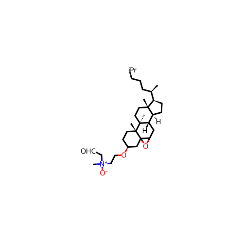 CC(C)CCC[C@@H](C)[C@H]1CC[C@H]2[C@@H]3CC4OC45C[C@@H](OCC[N+](C)([O-])CC=O)CC[C@]5(C)[C@@]3(C)CC[C@]12C